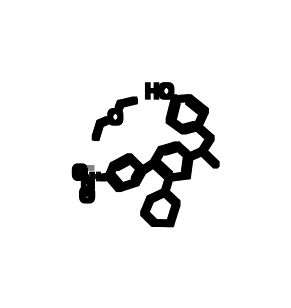 CC(Cc1ccc(O)cc1)c1ccc(-c2ccc([N+](=O)[O-])cc2)c(C2CCCCC2)c1.CCOCC